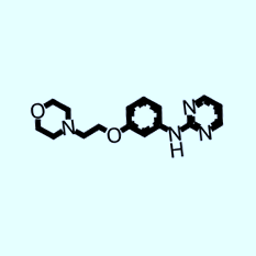 c1cnc(Nc2cccc(OCCN3CCOCC3)c2)nc1